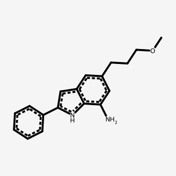 COCCCc1cc(N)c2[nH]c(-c3ccccc3)cc2c1